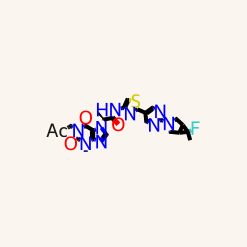 CC(=O)Cn1c(=O)c2c(ncn2[C@@H](C)C(=O)Nc2csc(-c3cnc(N4CC5C(C4)C5(C)F)nc3)n2)n(C)c1=O